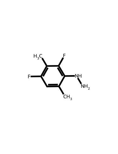 Cc1cc(F)c(C)c(F)c1NN